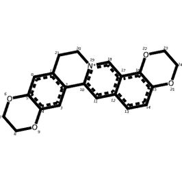 c1c2c(cc3c1OCCO3)-c1cc3ccc4c(c3c[n+]1CC2)OCCO4